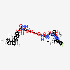 CC(C)CCC[C@@H](C)[C@H]1CCC2C3CCC4C[C@@H](OC(=O)C[C@H](NC(=O)CCOCCOCCOCCOCCNC(=O)Cn5cc(C(=O)N6CCN(C(=O)c7cn8nc(-c9ccc(F)cc9)cc(C(C)(C)C)c8n7)C(C)(C)C6)nn5)C(N)=O)CC[C@]4(C)C3CC[C@@]21C